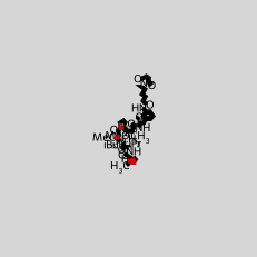 CC[C@H](C)[C@@H]([C@@H](CC(=O)N1CCC[C@H]1[C@H](OC)[C@@H](C)C(=O)N[C@H](CO)Cc1cccc(NC(=O)CCCCCN2C(=O)C=CC2=O)c1)OC)N(C)C(=O)[C@@H](NC(=O)[C@@H]1C2CC(C2)N1C)C(C)C